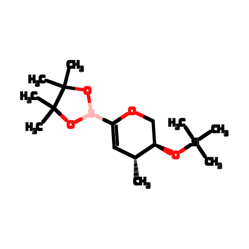 C[C@@H]1C=C(B2OC(C)(C)C(C)(C)O2)OC[C@H]1O[Si](C)(C)C